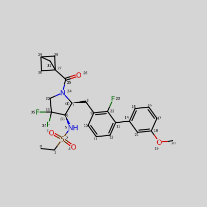 CCS(=O)(=O)N[C@@H]1[C@H](Cc2cccc(-c3cccc(OC)c3)c2F)N(C(=O)C23CC(C2)C3)CC1(F)F